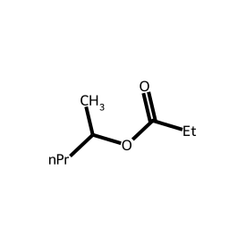 [CH2]CC(=O)OC(C)CCC